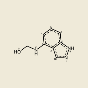 OCNc1cccc2[nH]ncc12